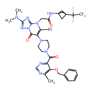 CCc1c(N2CCN(C(=O)c3ncnc(C)c3OCc3ccccc3)CC2)c(=O)n2nc(N(C)C)nc2n1CC(=O)NC12CC(C(F)(F)C(F)(F)F)(C1)C2